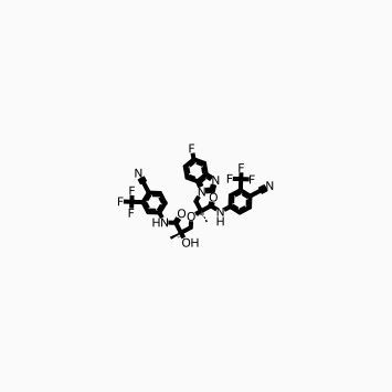 C[C@](O)(CO[C@@](C)(Cn1cnc2cc(F)ccc21)C(=O)Nc1ccc(C#N)c(C(F)(F)F)c1)C(=O)Nc1ccc(C#N)c(C(F)(F)F)c1